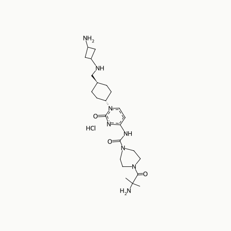 CC(C)(N)C(=O)N1CCN(C(=O)Nc2ccn([C@H]3CC[C@H](CNC4CC(N)C4)CC3)c(=O)n2)CC1.Cl